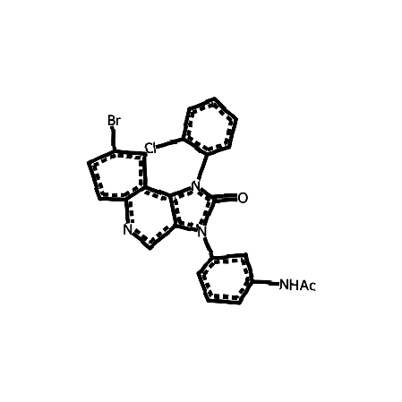 CC(=O)Nc1cccc(-n2c(=O)n(-c3ccccc3Cl)c3c4cc(Br)ccc4ncc32)c1